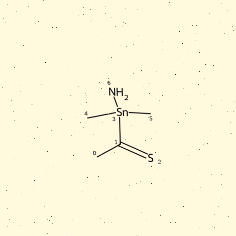 C[C](=S)[Sn]([CH3])([CH3])[NH2]